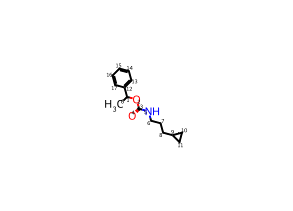 CC(OC(=O)NCCCC1[CH]C1)c1ccccc1